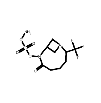 NOS(=O)(=O)ON1C(=O)CCCC(C(F)(F)F)N2CC1C2